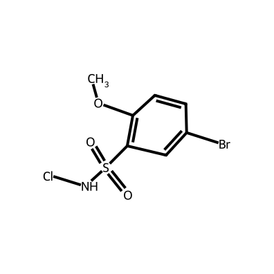 COc1ccc(Br)cc1S(=O)(=O)NCl